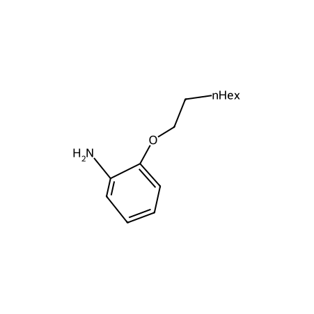 CCCCCCCCOc1ccccc1N